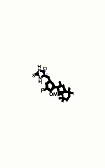 COc1c(F)cc(/C=C2\NC(=S)NC2=O)cc1-c1cc2c(cc1C)C(C)(C)CCC2(C)C